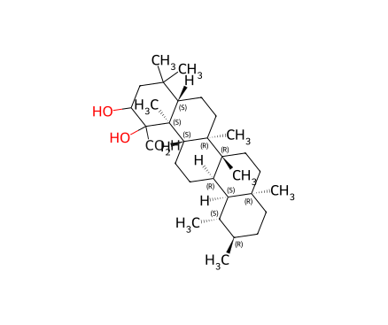 C[C@@H]1[C@H]2[C@H]3CC[C@@H]4[C@]5(C)[C@@H](CC[C@@]4(C)[C@]3(C)CC[C@@]2(C)CC[C@H]1C)C(C)(C)CC(O)C5(O)C(=O)O